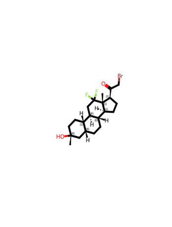 C[C@@]1(O)CC[C@H]2[C@H](CC[C@@H]3[C@@H]2CC(F)(F)[C@]2(C)[C@@H](C(=O)CBr)CC[C@@H]32)C1